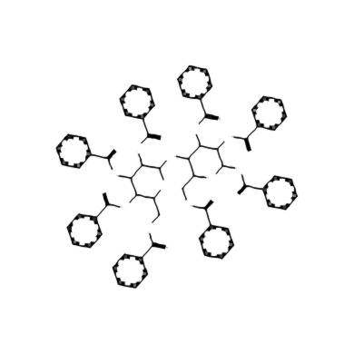 O=C(OCC1OC(OC2C(COC(=O)c3ccccc3)OC(OC(=O)c3ccccc3)C(OC(=O)c3ccccc3)C2OC(=O)c2ccccc2)C(OC(=O)c2ccccc2)C(OC(=O)c2ccccc2)C1OC(=O)c1ccccc1)c1ccccc1